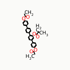 C=CC(=O)Oc1ccc(-c2ccc(-c3ccc(-c4ccc(OC(=O)C=C)cc4)cc3OC(=O)C(=C)C)cc2)cc1